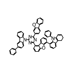 C1=Cc2c(c3cccc(-c4cccc5c4oc4cccc(-c6nc(-c7ccc8c(c7)oc7ccccc78)nc(-n7c8ccccc8c8cc(-c9ccccc9)ccc87)n6)c45)c3n2-c2ccccc2)CC1